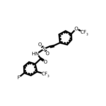 O=C(NS(=O)(=O)C=Cc1ccc(OC(F)(F)F)cc1)c1ccc(F)cc1C(F)(F)F